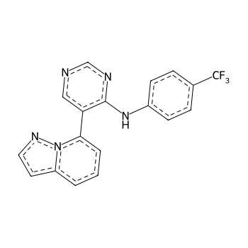 FC(F)(F)c1ccc(Nc2ncncc2-c2cccc3ccnn23)cc1